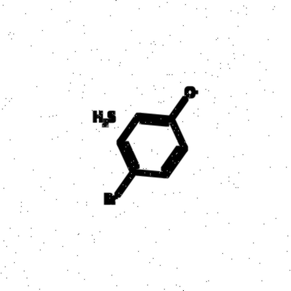 S.[O]c1ccc(Br)cc1